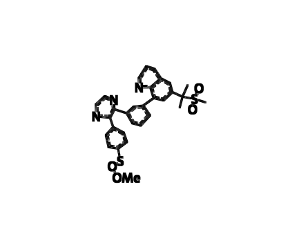 COOSc1ccc(-c2nccnc2-c2cccc(-c3cc(C(C)(C)S(C)(=O)=O)cc4cccnc34)c2)cc1